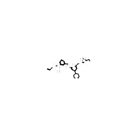 C=CCOC(=O)Nc1cccc(CNc2cc(C3CCOCC3)cc(CSc3nnc(CC)s3)n2)c1